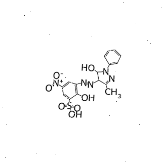 CC1=NN(c2ccccc2)C(O)C1N=Nc1cc([N+](=O)[O-])cc(S(=O)(=O)O)c1O